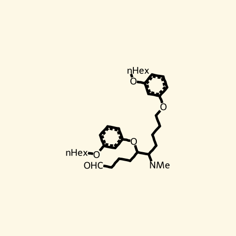 CCCCCCOc1cccc(OCCCCC(NC)C(CCCC=O)Oc2cccc(OCCCCCC)c2)c1